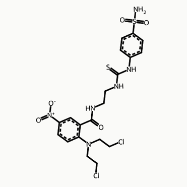 NS(=O)(=O)c1ccc(NC(=S)NCCNC(=O)c2cc([N+](=O)[O-])ccc2N(CCCl)CCCl)cc1